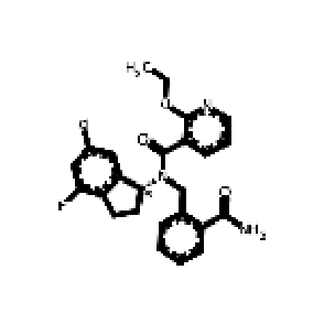 CCOc1ncccc1C(=O)N(Cc1ccccc1C(N)=O)[C@@H]1CCc2c(F)cc(Cl)cc21